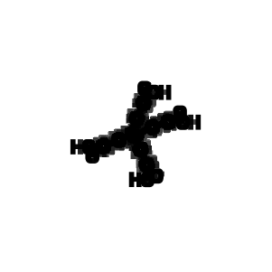 O=C(O)c1ccc(-c2ccc(C3CC4(c5ccc(-c6ccc(C(=O)O)cc6)cc5)CC5(c6ccc(-c7ccc(C(=O)O)cc7)cc6)CC6(c7ccc(-c8ccc(C(=O)O)cc8)cc7)C3CC456)cc2)cc1